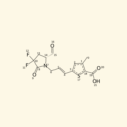 Cc1cc(C=CCN2C(=O)C(F)(F)C[C@@H]2C=O)sc1C(=O)O